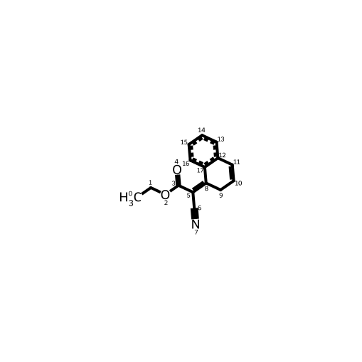 CCOC(=O)C(C#N)=C1CC=Cc2ccccc21